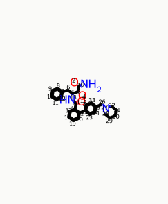 NC(=O)C(=O)C(Cc1ccccc1)NC(=O)c1ccccc1-c1ccc(CN2CCCCC2)cc1